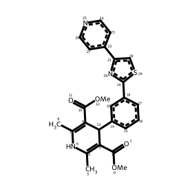 COC(=O)C1=C(C)NC(C)=C(C(=O)OC)C1c1cccc(-c2nc(-c3ccncc3)cs2)c1